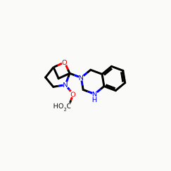 O=C(O)ON1CCC2CC1(N1CNc3ccccc3C1)O2